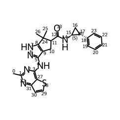 Cc1nc(Nc2n[nH]c3c2CC(C(=O)N[C@H]2C[C@@H]2c2ccccc2)C3(C)C)c2sccc2n1